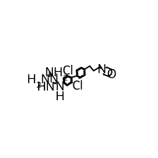 N=C(N=C(N)N)Nc1cc(Cl)c(-c2ccc(CCCN3CCOCC3)cc2)c(Cl)c1